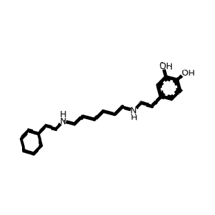 Oc1ccc(CCNCCCCCCNCCC2CCCCC2)cc1O